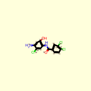 Nc1cc(O)c(NC(=O)c2ccc(Cl)c(Cl)c2)cc1Cl